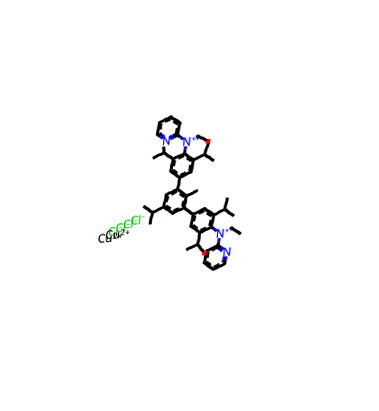 CC=[N+](c1ccccn1)c1c(C(C)C)cc(-c2cc(C(C)C)cc(-c3cc(C(C)C)c([N+](=CC)c4ccccn4)c(C(C)C)c3)c2C)cc1C(C)C.[Cl-].[Cl-].[Cl-].[Cl-].[Cu+2].[Cu+2]